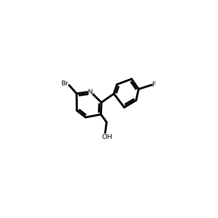 OCc1ccc(Br)nc1-c1ccc(F)cc1